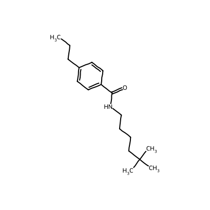 CCCc1ccc(C(=O)NCCCCC(C)(C)C)cc1